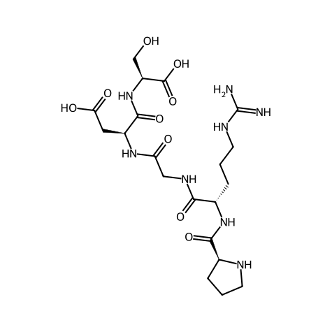 N=C(N)NCCC[C@H](NC(=O)[C@@H]1CCCN1)C(=O)NCC(=O)N[C@@H](CC(=O)O)C(=O)N[C@@H](CO)C(=O)O